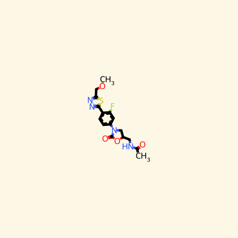 COCc1nnc(-c2ccc(N3CC(CNC(C)=O)OC3=O)cc2F)s1